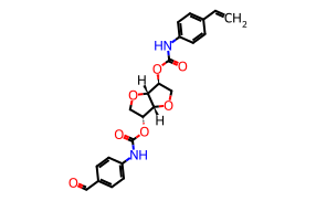 C=Cc1ccc(NC(=O)O[C@H]2CO[C@H]3[C@@H]2OC[C@H]3OC(=O)Nc2ccc(C=O)cc2)cc1